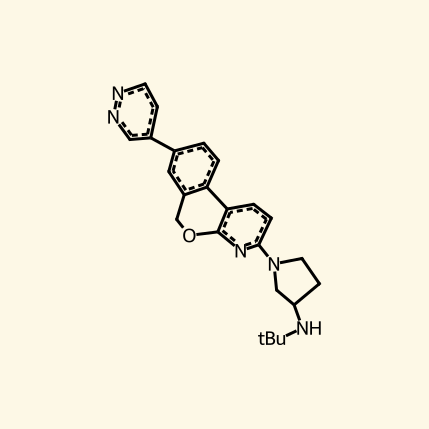 CC(C)(C)NC1CCN(c2ccc3c(n2)OCc2cc(-c4ccnnc4)ccc2-3)C1